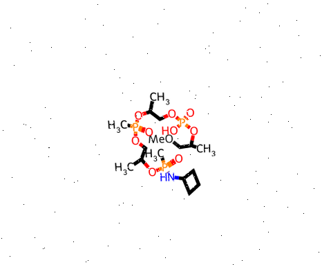 COCC(C)OP(=O)(O)OCC(C)OP(C)(=O)OCC(C)OP(C)(=O)NC1CCC1